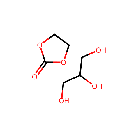 O=C1OCCO1.OCC(O)CO